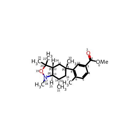 COC(=O)c1ccc(C)c([C@@]2(C)C[C@@H]3[C@@H]([C@@H](C)C2)N(C)OC3(C)C)c1